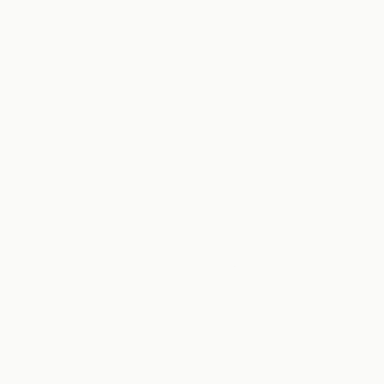 CCCCc1ccc(-c2[c]ccc(C)c2C)cc1